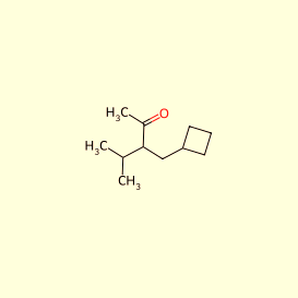 CC(=O)C(CC1CCC1)C(C)C